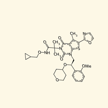 COc1ccccc1[C@H](Cn1c(=O)n(C(C)(C)C(=O)NOCC2CC2)c(=O)c2c(C)c(-c3ncco3)sc21)OC1CCOCC1